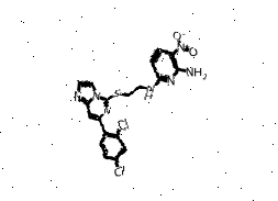 Nc1nc(NCCSc2nc(-c3ccc(Cl)cc3Cl)cc3nccn23)ccc1[N+](=O)[O-]